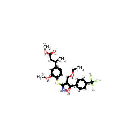 CCOCc1c(Sc2ccc(C(C)CC(=O)OC)cc2OC)noc1-c1ccc(C(F)(F)F)cc1